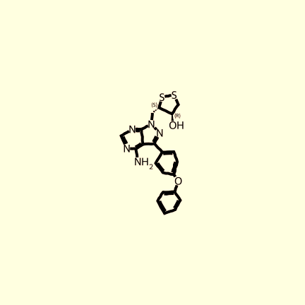 Nc1ncnc2c1c(-c1ccc(Oc3ccccc3)cc1)nn2C[C@@H]1SSC[C@H]1O